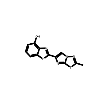 Cc1nn2cc(-c3nc4c(O)cccc4o3)nc2s1